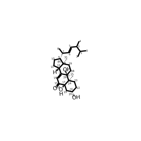 CC(C)C(C)C=CC(C)[C@H]1CC[C@H]2C3=CC(=O)[C@@]4(O)C[C@@H](O)CC[C@]4(C)[C@@]3(O)CC[C@]12C